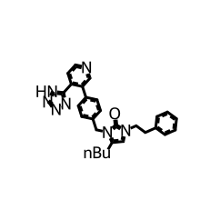 CCCCc1cn(CCc2ccccc2)c(=O)n1Cc1ccc(-c2cnccc2-c2nnn[nH]2)cc1